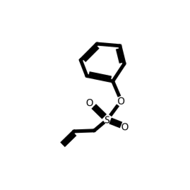 C=CCS(=O)(=O)Oc1ccccc1